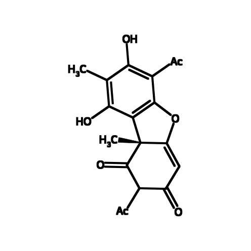 CC(=O)c1c(O)c(C)c(O)c2c1OC1=CC(=O)C(C(C)=O)C(=O)[C@@]12C